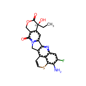 CC[C@@]1(O)C(=O)OCc2c1cc1n(c2=O)Cc2c-1nc1cc(F)c(N)c3c1c2C=CS3